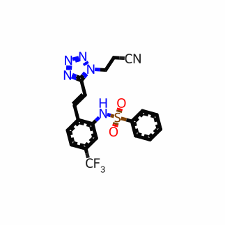 N#CCCn1nnnc1/C=C/c1ccc(C(F)(F)F)cc1NS(=O)(=O)c1ccccc1